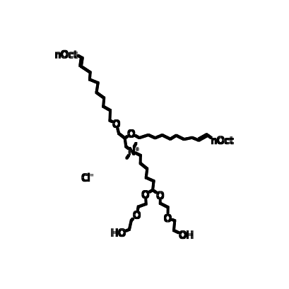 CCCCCCCCC=CCCCCCCCCOCC(C[N+](C)(C)CCCCCC(OCCOCCO)OCCOCCO)OCCCCCCCCC=CCCCCCCCC.[Cl-]